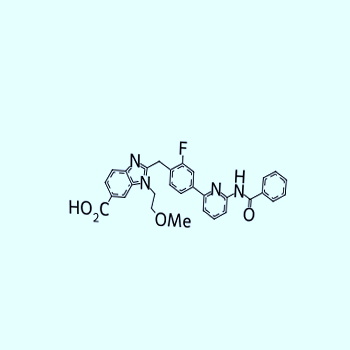 COCCn1c(Cc2ccc(-c3cccc(NC(=O)c4ccccc4)n3)cc2F)nc2ccc(C(=O)O)cc21